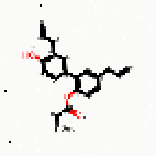 C=CCc1ccc(OC(=O)CCCCCCCCCCC)c(-c2ccc(O)c(CC=C)c2)c1